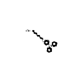 CCCCCCCCCCCCCCCCCC(=O)[O-].c1cc[c]([Sn+]([c]2ccccc2)[c]2ccccc2)cc1